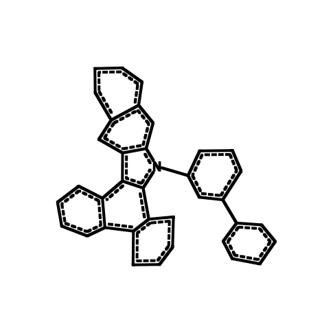 c1ccc(-c2cccc(-n3c4cc5ccccc5cc4c4c5ccccc5c5ccccc5c43)c2)cc1